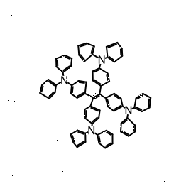 c1ccc(N(c2ccccc2)c2ccc(C(=C(c3ccc(N(c4ccccc4)c4ccccc4)cc3)c3ccc(N(c4ccccc4)c4ccccc4)cc3)c3ccc(N(c4ccccc4)c4ccccc4)cc3)cc2)cc1